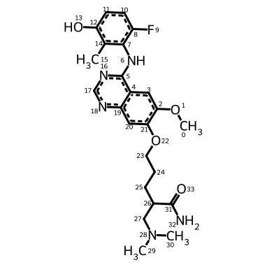 COc1cc2c(Nc3c(F)ccc(O)c3C)ncnc2cc1OCCCC(CN(C)C)C(N)=O